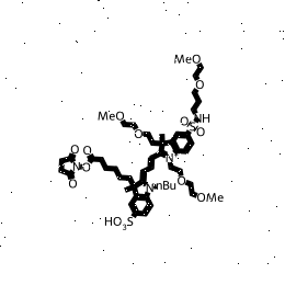 CCCCN1C(=CC=CC2=[N+](CCOCCOC)c3ccc(S(=O)(=O)NCCCOCCOC)cc3C2(C)CCOCCOC)C(C)(CCCCCC(=O)ON2C(=O)CCC2=O)c2cc(S(=O)(=O)O)ccc21